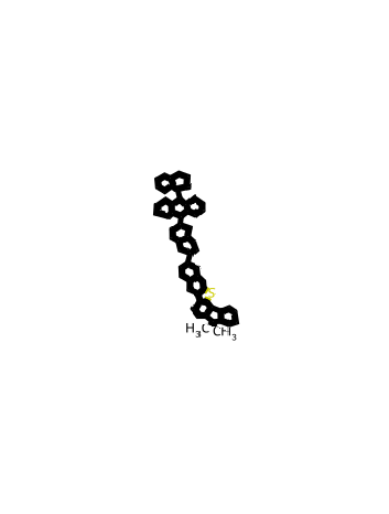 CC1(C)c2ccccc2-c2c1ccc1c2sc2cc3cc(-c4ccc5cc(-c6c7ccccc7c(-c7cccc8ccccc78)c7ccccc67)ccc5c4)ccc3cc21